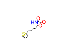 O=C1NC(CCCCc2cccs2)OC1=O